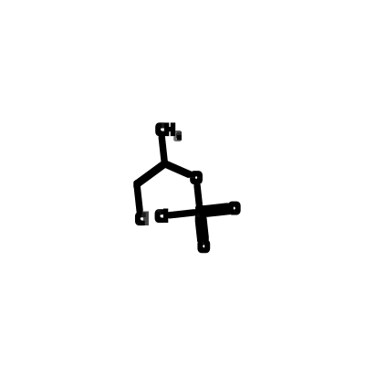 CC(CCl)OS(=O)(=O)Cl